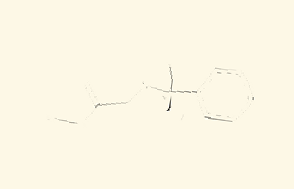 CCOC(=O)[C@](C)(NCC(=O)OC(C)(C)C)c1ccccc1